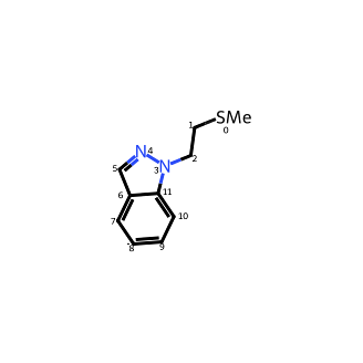 CSCCn1ncc2c[c]ccc21